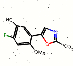 CCOC(=O)c1ncc(-c2cc(C#N)c(F)cc2OC)o1